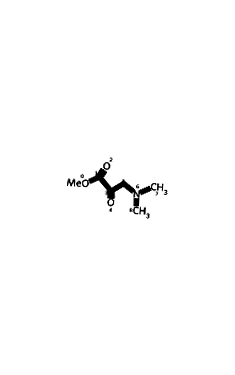 COC(=O)C(=O)CN(C)C